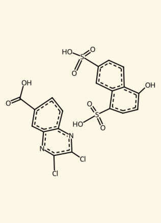 O=C(O)c1ccc2nc(Cl)c(Cl)nc2c1.O=S(=O)(O)c1ccc2c(O)ccc(S(=O)(=O)O)c2c1